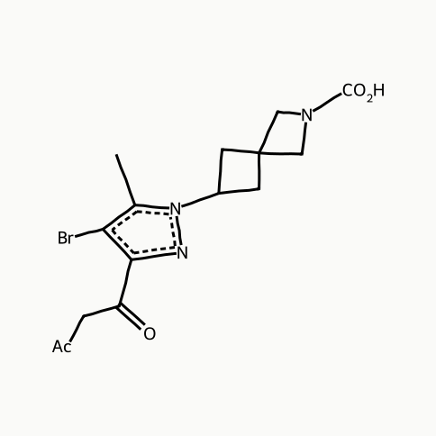 CC(=O)CC(=O)c1nn(C2CC3(C2)CN(C(=O)O)C3)c(C)c1Br